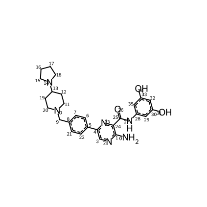 Nc1ncc(-c2ccc(CN3CCC(N4CCCC4)CC3)cc2)nc1C(=O)Nc1cc(O)cc(O)c1